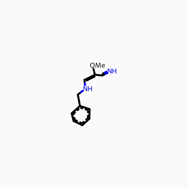 CO/C(C=N)=C/NCc1ccccc1